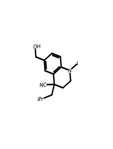 CC(C)CC1(C#N)CCN(I)c2ccc(CO)cc21